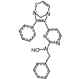 ON(Cc1ccccc1)c1nccc(C2=C(c3ccccc3)N3CN2C=CS3)n1